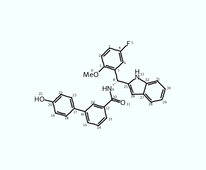 COc1ccc(F)cc1[C@@H](NC(=O)c1cccc(-c2ccc(O)cc2)c1)c1cc2ccccc2[nH]1